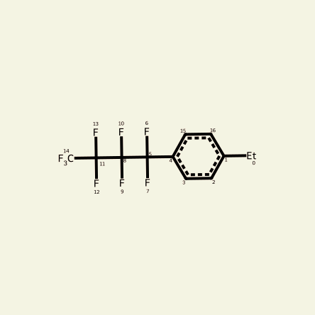 [CH2]Cc1ccc(C(F)(F)C(F)(F)C(F)(F)C(F)(F)F)cc1